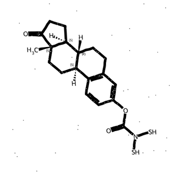 C[C@]12CC[C@@H]3c4ccc(OC(=O)N(S)S)cc4CC[C@H]3[C@@H]1CCC2=O